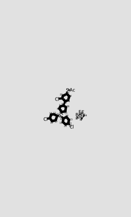 CC(=O)Sc1ccc(-c2ccc([S+](c3ccc(Cl)cc3)c3ccc(Cl)cc3)cc2)c(Cl)c1.[F][Sb-]([F])([F])([F])([F])[F]